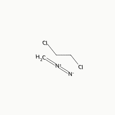 C=[N+]=[N-].ClCCCl